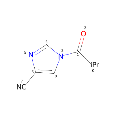 CC(C)C(=O)n1cnc(C#N)c1